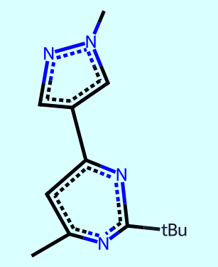 Cc1cc(-c2cnn(C)c2)nc(C(C)(C)C)n1